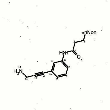 CCCCCCCCCCCC(=O)Nc1cccc(C#CCN)c1